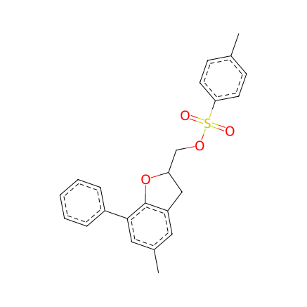 Cc1ccc(S(=O)(=O)OCC2Cc3cc(C)cc(-c4ccccc4)c3O2)cc1